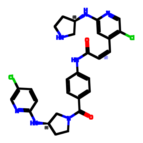 O=C(/C=C\c1cc(N[C@@H]2CCNC2)ncc1Cl)Nc1ccc(C(=O)N2CC[C@@H](Nc3ccc(Cl)cn3)C2)cc1